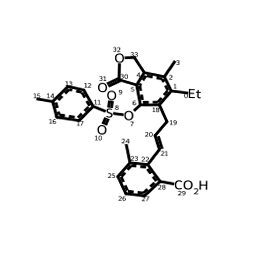 CCc1c(C)c2c(c(OS(=O)(=O)c3ccc(C)cc3)c1C/C=C/c1c(C)cccc1C(=O)O)C(=O)OC2